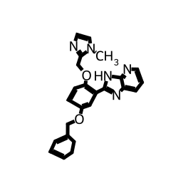 Cn1ccnc1COc1ccc(OCC2=CC=CCC2)cc1-c1nc2cccnc2[nH]1